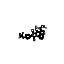 COc1cnc2ccccc2c1C(C)C1NC(=O)N(c2ccc(SC(F)(F)F)cc2)C1=O